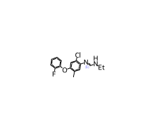 CCN/C=N/c1cc(C)c(Oc2ccccc2F)cc1Cl